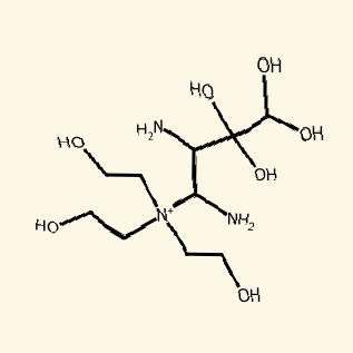 NC(C(N)[N+](CCO)(CCO)CCO)C(O)(O)C(O)O